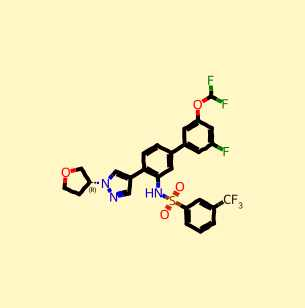 O=S(=O)(Nc1cc(-c2cc(F)cc(OC(F)F)c2)ccc1-c1cnn([C@@H]2CCOC2)c1)c1cccc(C(F)(F)F)c1